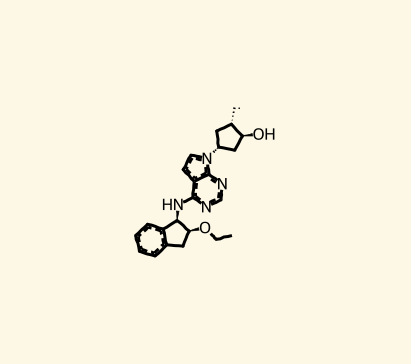 [CH2][C@H]1C[C@@H](n2ccc3c(N[C@@H]4c5ccccc5C[C@@H]4OCC)ncnc32)C[C@@H]1O